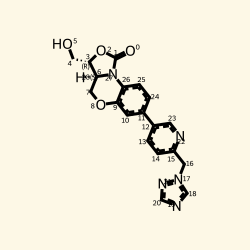 O=C1O[C@@H](CO)[C@@H]2COc3cc(-c4ccc(Cn5cncn5)nc4)ccc3N12